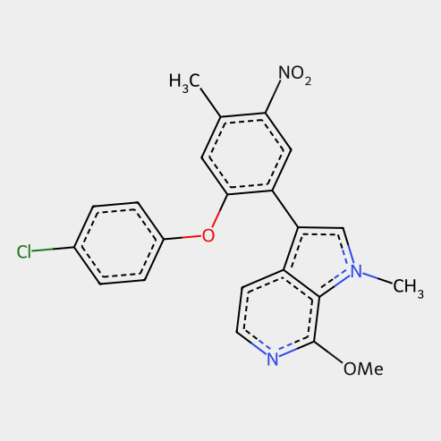 COc1nccc2c(-c3cc([N+](=O)[O-])c(C)cc3Oc3ccc(Cl)cc3)cn(C)c12